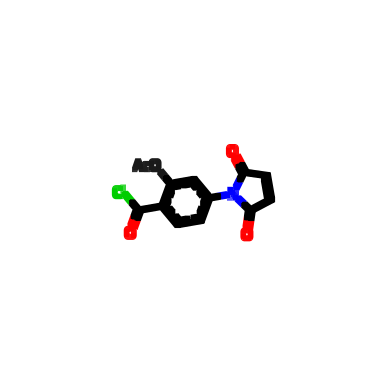 CC(=O)Oc1cc(N2C(=O)C=CC2=O)ccc1C(=O)Cl